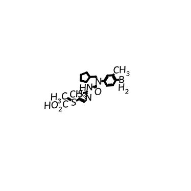 Bc1ccc(N(CC2CCCC2)C(=O)Nc2ncc(SC(C)(C)C(=O)O)s2)cc1C